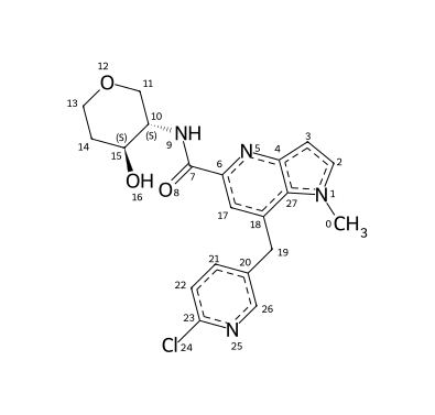 Cn1ccc2nc(C(=O)N[C@H]3COCC[C@@H]3O)cc(Cc3ccc(Cl)nc3)c21